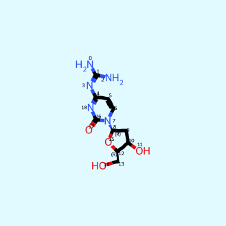 NC(N)=Nc1ccn([C@H]2CC(O)[C@@H](CO)O2)c(=O)n1